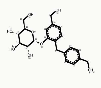 CCc1ccc(Cc2ccc(CO)cc2O[C@H]2O[C@H](CO)[C@@H](O)[C@H](O)[C@H]2O)cc1